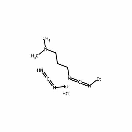 CCN=C=N.CCN=C=NCCCN(C)C.Cl